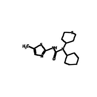 Cc1cnc(NC(=O)N(C2CCCCC2)C2CCSCC2)s1